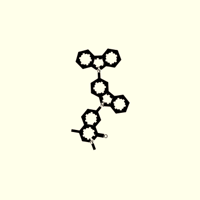 Cc1cn(C)c(=O)c2cc(-n3c4ccccc4c4cc(-n5c6ccccc6c6ccccc65)ccc43)ccc12